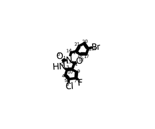 O=c1[nH]c2cc(Cl)c(F)cc2c(=O)n1Cc1ccc(Br)cc1